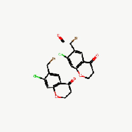 C=O.O=C1CCOc2cc(Cl)c(CBr)cc21.O=C1CCOc2cc(Cl)c(CBr)cc21